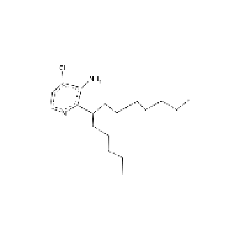 CCCCCCCC(CCCCC)c1nccc(Cl)c1N